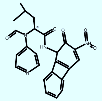 CC(C)C[C@@H](C(=O)NC1C(=O)C([SH](=O)=O)=CC2=C1c1ccccc12)N(C=O)c1ccncc1